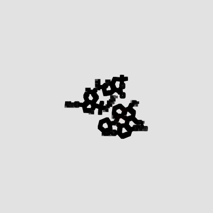 COc1ccc(OC)c(P(C2CCCCC2)C2CCCCC2)c1-c1c(C(C)C)cc(C(C)C)cc1C(C)C.COc1cnc(C(C)(C)N=[N+]=[N-])c2cc(Nc3ccc4c(n3)CC(C)(C)OC4=O)ncc12